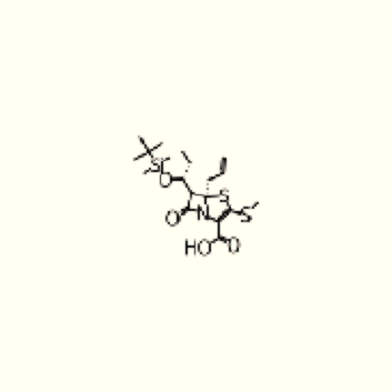 C=CC[C@]12SC(SC)=C(C(=O)O)N1C(=O)[C@H]2[C@@H](CC)O[Si](C)(C)C(C)(C)C